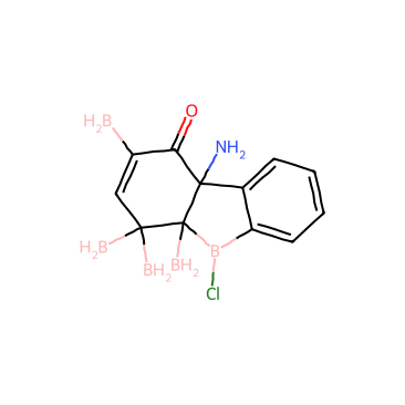 BC1=CC(B)(B)C2(B)B(Cl)c3ccccc3C2(N)C1=O